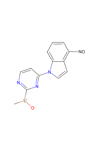 C[S+]([O-])c1nccc(-n2ccc3c(N=O)cccc32)n1